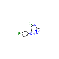 Fc1ccc(Nc2cc(Cl)nc3ccnn23)cc1